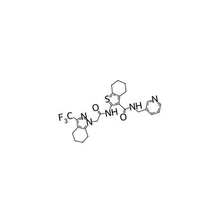 O=C(Cn1nc(C(F)(F)F)c2c1CCCC2)Nc1sc2c(c1C(=O)NCc1cccnc1)CCCC2